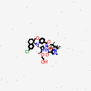 C=CC[C@H](C)C[S@](=O)(=NC(=O)c1ccc2c(c1)N(C[C@@H]1CC[C@H]1[C@H](C)OCCO)C[C@@]1(CCCc3cc(Cl)ccc31)CO2)NC(=O)c1cn(C)nc1OC